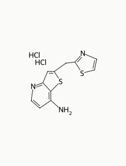 Cl.Cl.Nc1ccnc2cc(Cc3nccs3)sc12